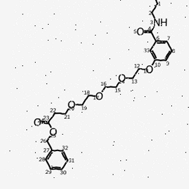 CC(C)COCCNC(=O)c1cccc(OCCOCCOCCOCCC(=O)OCc2ccccc2)c1